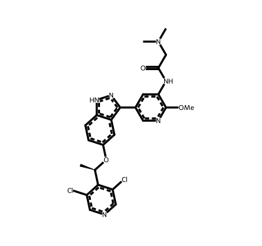 COc1ncc(-c2n[nH]c3ccc(O[C@H](C)c4c(Cl)cncc4Cl)cc23)cc1NC(=O)CN(C)C